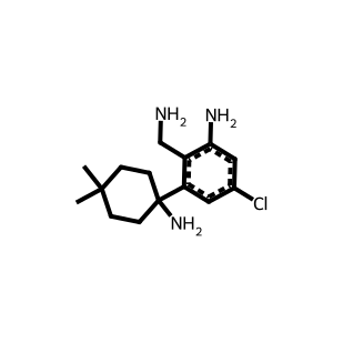 CC1(C)CCC(N)(c2cc(Cl)cc(N)c2CN)CC1